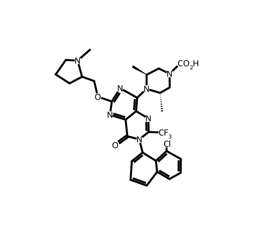 C[C@H]1CN(C(=O)O)C[C@H](C)N1c1nc(OCC2CCCN2C)nc2c(=O)n(-c3cccc4cccc(Cl)c34)c(C(F)(F)F)nc12